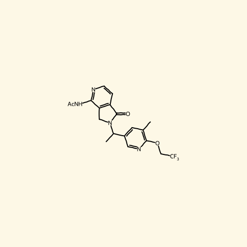 CC(=O)Nc1nccc2c1CN(C(C)c1cnc(OCC(F)(F)F)c(C)c1)C2=O